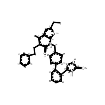 CCc1cc2c(C)c(CCc3ccccc3)c(=O)n(Cc3ccc(-c4ccccc4-c4noc(=O)[nH]4)cc3)c2s1